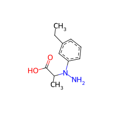 CCc1cccc(N(N)C(C)C(=O)O)c1